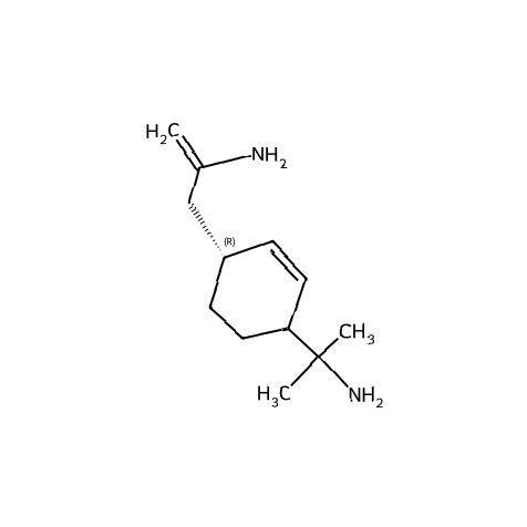 C=C(N)C[C@@H]1C=CC(C(C)(C)N)CC1